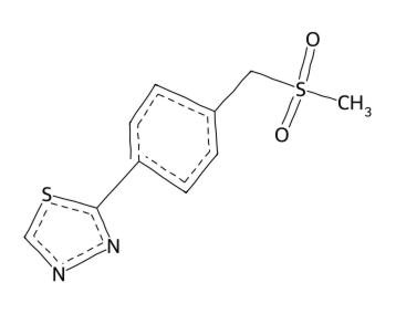 CS(=O)(=O)Cc1ccc(-c2nncs2)cc1